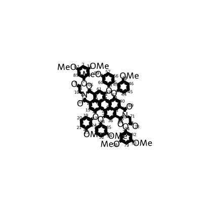 COc1cc(OC)cc(OC(=O)CN2C(=O)c3cc(Oc4cccc(OC)c4)c4c5c(Oc6cccc(OC)c6)cc6c7c(cc(Oc8cccc(OC)c8)c(c8c(Oc9cccc(OC)c9)cc(c3c48)C2=O)c75)C(=O)N(CC(=O)Oc2cc(OC)cc(OC)c2)C6=O)c1